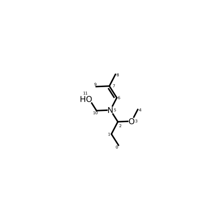 CCC(OC)N(C=C(C)C)CO